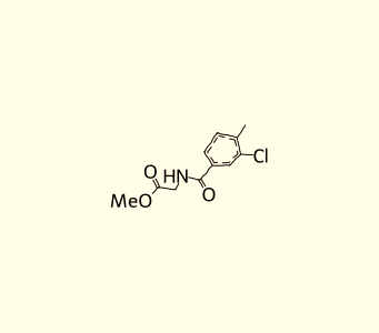 COC(=O)CNC(=O)c1ccc(C)c(Cl)c1